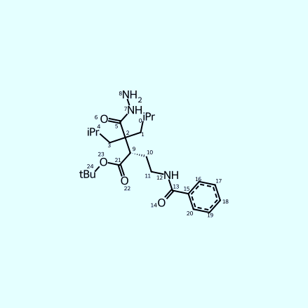 CC(C)CC(CC(C)C)(C(=O)NN)[C@H](CCNC(=O)c1ccccc1)C(=O)OC(C)(C)C